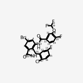 O=C(Nc1cc(Br)cc2c1C(c1cc(F)ccc1Cl)NC2=O)c1ccc(F)c(OC(F)F)c1